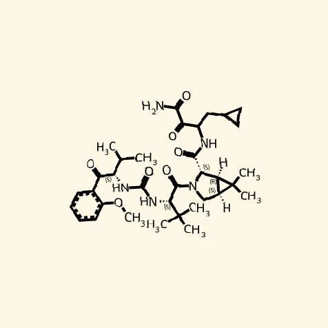 COc1ccccc1C(=O)[C@@H](NC(=O)N[C@H](C(=O)N1C[C@H]2[C@@H]([C@H]1C(=O)NC(CC1CC1)C(=O)C(N)=O)C2(C)C)C(C)(C)C)C(C)C